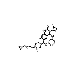 Cc1cc2[nH]c(=O)c(C3CCC3C)c(NC3CCOCC3)c2cc1C(=O)N1CCN(CCOCC2CC2)[C@@H](C)C1